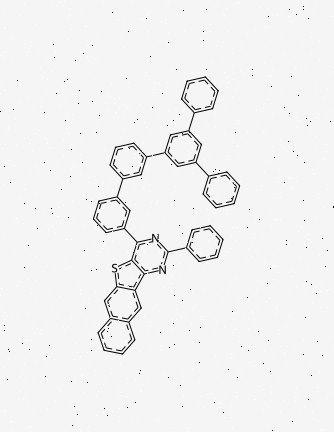 c1ccc(-c2cc(-c3ccccc3)cc(-c3cccc(-c4cccc(-c5nc(-c6ccccc6)nc6c5sc5cc7ccccc7cc56)c4)c3)c2)cc1